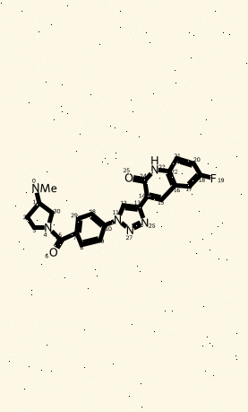 CNC1CCN(C(=O)c2ccc(-n3cc(-c4cc5cc(F)ccc5[nH]c4=O)nn3)cc2)C1